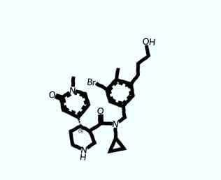 Cc1c(Br)cc(CN(C(=O)C2CNCC[C@@H]2c2ccn(C)c(=O)c2)C2CC2)cc1CCCO